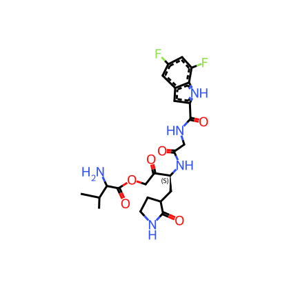 CC(C)C(N)C(=O)OCC(=O)[C@H](CC1CCNC1=O)NC(=O)CNC(=O)c1cc2cc(F)cc(F)c2[nH]1